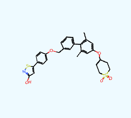 Cc1cc(OC2CCS(=O)(=O)CC2)cc(C)c1-c1cccc(COc2ccc(-c3cc(O)ns3)cc2)c1